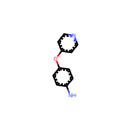 [NH]c1ccc(Oc2ccncc2)cc1